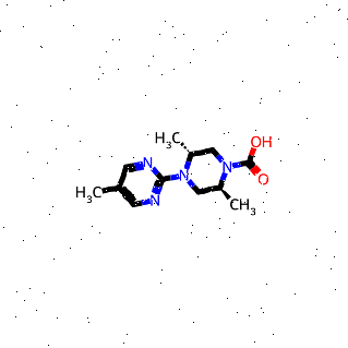 Cc1cnc(N2C[C@H](C)N(C(=O)O)C[C@H]2C)nc1